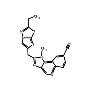 CCc1nn2cc(Cc3nc4cnc5ccc(C#N)cc5c4n3C)nc2s1